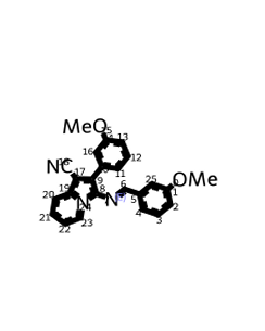 COc1cccc(/C=N/c2c(-c3cccc(OC)c3)c(C#N)c3ccccn23)c1